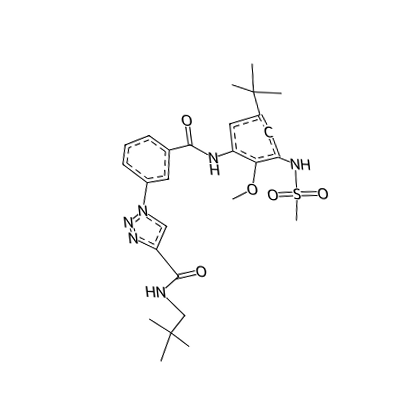 COc1c(NC(=O)c2cccc(-n3cc(C(=O)NCC(C)(C)C)nn3)c2)cc(C(C)(C)C)cc1NS(C)(=O)=O